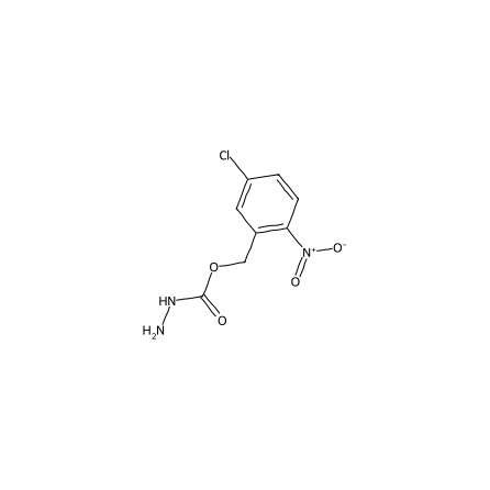 NNC(=O)OCc1cc(Cl)ccc1[N+](=O)[O-]